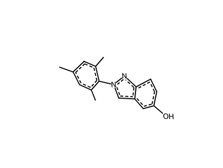 Cc1cc(C)c(-n2cc3cc(O)ccc3n2)c(C)c1